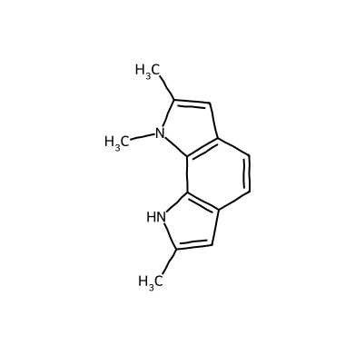 Cc1cc2ccc3cc(C)n(C)c3c2[nH]1